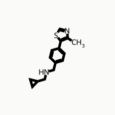 Cc1ncsc1-c1ccc(CNCC2CC2)cc1